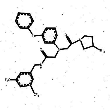 NC1CCN(C(=O)CN(CC(=O)NCc2cc(C(F)(F)F)cc(C(F)(F)F)c2)c2cccc(Oc3ccccc3)c2)C1